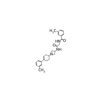 Cc1cccc(C(=O)NCC(=O)NC2CN(C3CC=C(c4cccc(C)c4)CC3)C2)c1